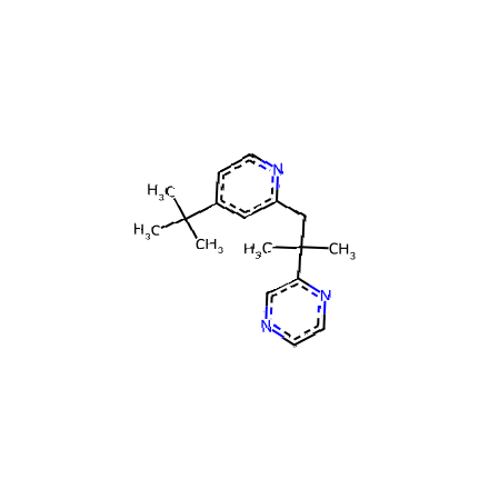 CC(C)(C)c1ccnc(CC(C)(C)c2cnccn2)c1